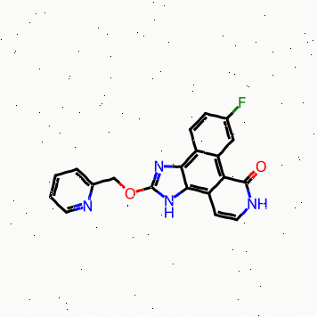 O=c1[nH]ccc2c3[nH]c(OCc4ccccn4)nc3c3ccc(F)cc3c12